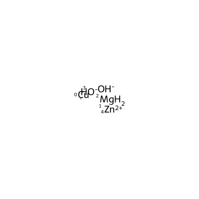 [Cu].[MgH2].[OH-].[OH-].[Zn+2]